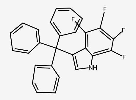 Fc1c(F)c(F)c2c(C(c3ccccc3)(c3ccccc3)c3ccccc3)c[nH]c2c1F